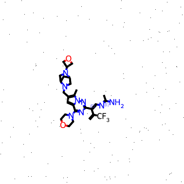 C=C(/C(=C\N=C(/C)N)c1nc(N2CCOCC2)c2cc(CN3CC4CC3CN4C3COC3)c(C)n2n1)C(F)(F)F